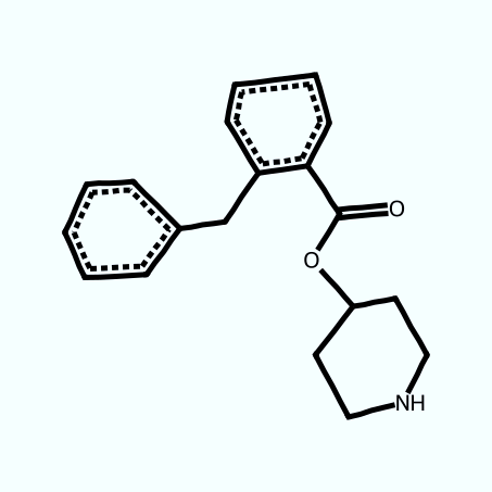 O=C(OC1CCNCC1)c1ccccc1Cc1ccccc1